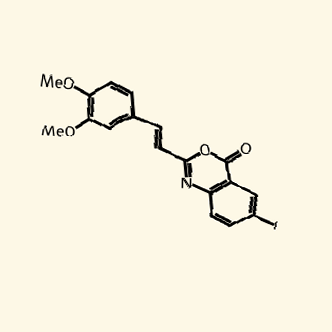 COc1ccc(C=Cc2nc3ccc(I)cc3c(=O)o2)cc1OC